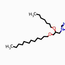 CCCCCCCCCCCCOCC(Cn1ccnc1)OCCCCCCC